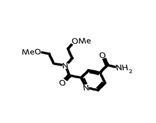 COCCN(CCOC)C(=O)c1cc(C(N)=O)ccn1